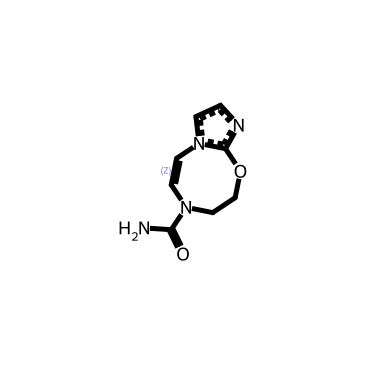 NC(=O)N1/C=C\n2ccnc2OCC1